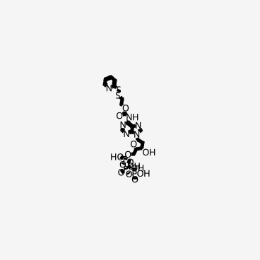 O=C(Nc1ncnc2c1ncn2C1CC(O)C(COP(=O)(O)OP(=O)(O)OP(=O)(O)O)O1)OCCSSc1ccccn1